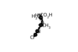 Cc1cc(C#Cc2ccc(-c3ccc(Cl)cc3)cn2)ccc1OCCN1CCC(C)(NC(=O)O)CC1